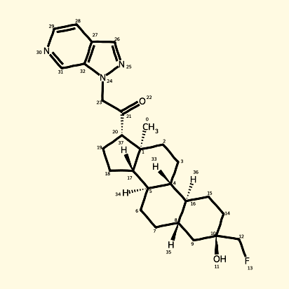 C[C@]12CC[C@H]3[C@@H](CC[C@H]4C[C@@](O)(CF)CC[C@@H]43)[C@@H]1CC[C@@H]2C(=O)Cn1ncc2ccncc21